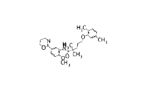 COc1ccc(C2=NCCCO2)cc1NC(=O)C(C)(C)CCCOc1cc(C)ccc1C